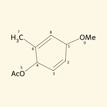 COC1C=CC(OC(C)=O)C(C)=C1